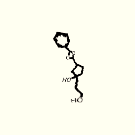 OCCCC1(O)CCC(C2OC(c3ccccc3)O2)C1